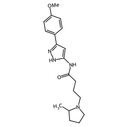 COc1ccc(-c2cc(NC(=O)CCCN3CCCC3C)[nH]n2)cc1